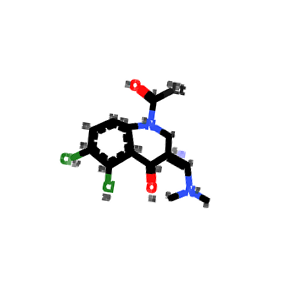 CCC(=O)N1C/C(=C/N(C)C)C(=O)c2c1ccc(Cl)c2Cl